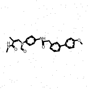 CNC(=O)/C(C)=C\N(C=O)c1ccc(NC(=O)Cc2cccc(-c3ccc(OC)cc3)c2)cc1